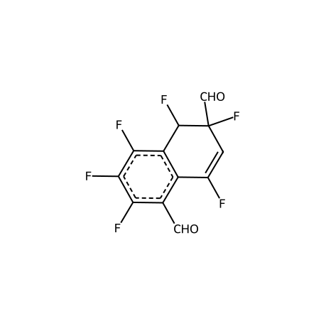 O=Cc1c(F)c(F)c(F)c2c1C(F)=CC(F)(C=O)C2F